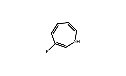 FC1=CNC=CC=C1